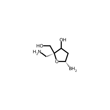 B[C@H]1CC(O)[C@](CN)(CO)O1